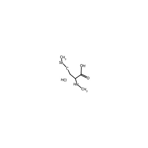 CNC(CC[Se]C)C(=O)O.Cl